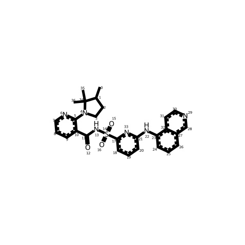 CC1CCN(c2ncccc2C(=O)NS(=O)(=O)c2cccc(Nc3cccc4cnccc34)n2)C1(C)C